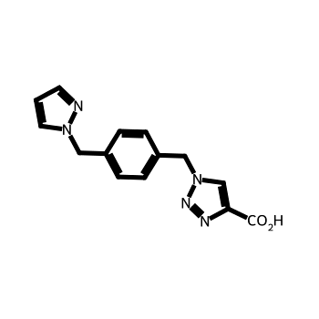 O=C(O)c1cn(Cc2ccc(Cn3cccn3)cc2)nn1